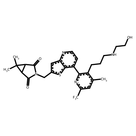 Cc1cc(C(F)(F)F)nc(-c2ccnc3cc(CN4C(=O)C5C(C4=O)C5(C)C)sc23)c1CCCNCCO